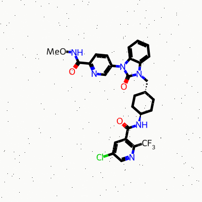 CONC(=O)c1ccc(-n2c(=O)n(C[C@H]3CC[C@H](NC(=O)c4cc(Cl)cnc4C(F)(F)F)CC3)c3ccccc32)cn1